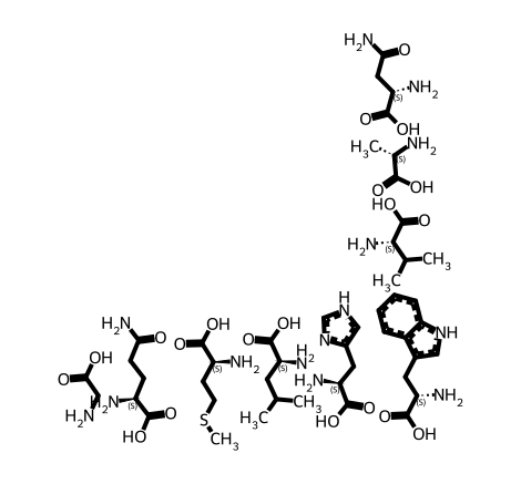 CC(C)C[C@H](N)C(=O)O.CC(C)[C@H](N)C(=O)O.CSCC[C@H](N)C(=O)O.C[C@H](N)C(=O)O.NC(=O)CC[C@H](N)C(=O)O.NC(=O)C[C@H](N)C(=O)O.NCC(=O)O.N[C@@H](Cc1c[nH]c2ccccc12)C(=O)O.N[C@@H](Cc1c[nH]cn1)C(=O)O